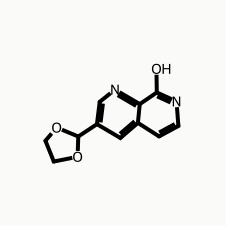 Oc1nccc2cc(C3OCCO3)cnc12